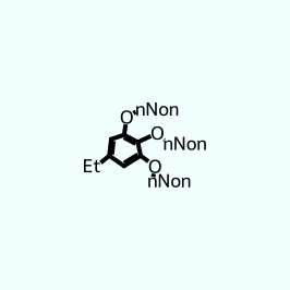 [CH2]Cc1cc(OCCCCCCCCC)c(OCCCCCCCCC)c(OCCCCCCCCC)c1